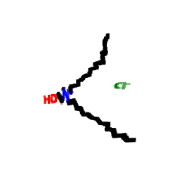 CCCCCCCCCCCCCCCC[N+](C)(CCO)CCCCCCCCCCCCCCCC.[Cl-]